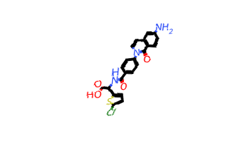 Nc1ccc2c(=O)n(-c3ccc(C(=O)NC(C(=O)O)c4ccc(Cl)s4)cc3)ccc2c1